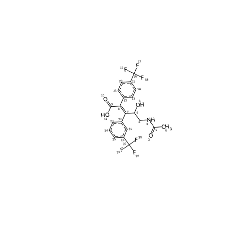 CC(=O)NCC(O)/C(=C(/C(=O)O)c1ccc(C(F)(F)F)cc1)c1cccc(C(F)(F)F)c1